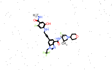 CNC(=O)c1cc(O)c(NCC#Cc2cc(C(=O)N[C@@H]3[C@@H](C)CN(C4CCOCC4)C[C@@H]3F)c3ncn(CC(F)(F)F)c3c2)cc1F